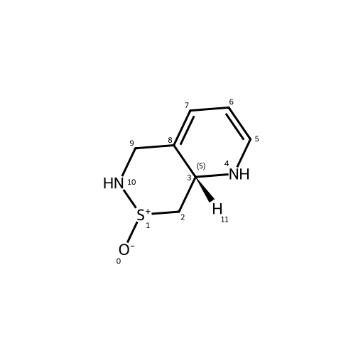 [O-][S+]1C[C@H]2NC=CC=C2CN1